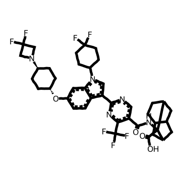 O=C(NC1(C(=O)O)C2CCC3CC1CC3C2)c1cnc(-c2cn(C3CCC(F)(F)CC3)c3cc(O[C@H]4CC[C@H](N5CC(F)(F)C5)CC4)ccc23)nc1C(F)(F)F